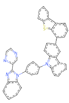 c1ccc2c(c1)nc(-c1cnccn1)n2-c1ccc(-n2c3ccccc3c3cc(-c4cccc5c4sc4ccccc45)ccc32)cc1